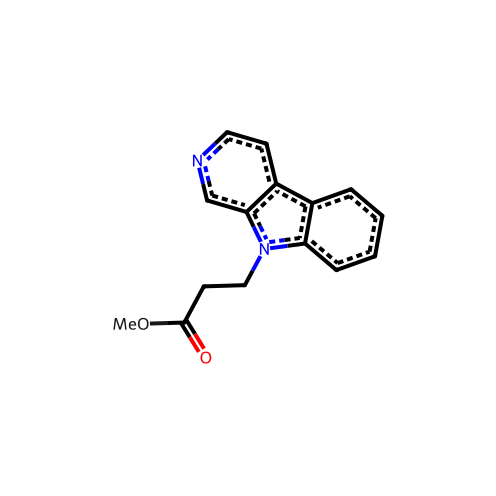 COC(=O)CCn1c2ccccc2c2ccncc21